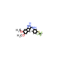 COc1cc2c(cc1OC)-c1n[nH]c(Nc3cccc(SC(F)(F)F)c3)c1C2